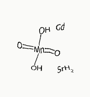 [Gd].[O]=[Mn](=[O])([OH])[OH].[SrH2]